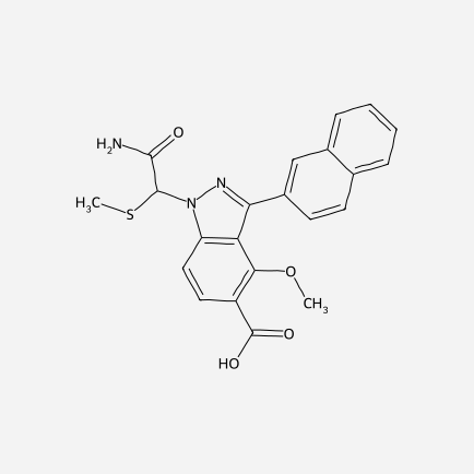 COc1c(C(=O)O)ccc2c1c(-c1ccc3ccccc3c1)nn2C(SC)C(N)=O